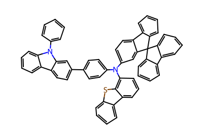 c1ccc(-n2c3ccccc3c3ccc(-c4ccc(N(c5ccc6c(c5)C5(c7ccccc7-c7ccccc75)c5ccccc5-6)c5cccc6c5sc5ccccc56)cc4)cc32)cc1